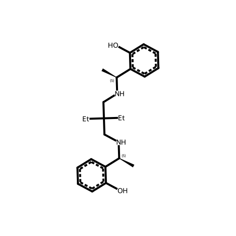 CCC(CC)(CN[C@@H](C)c1ccccc1O)CN[C@@H](C)c1ccccc1O